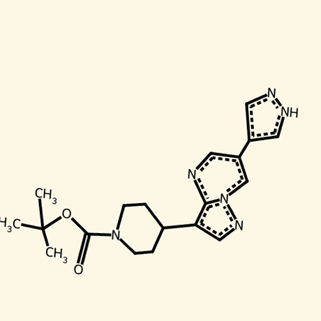 CC(C)(C)OC(=O)N1CCC(c2cnn3cc(-c4cn[nH]c4)cnc23)CC1